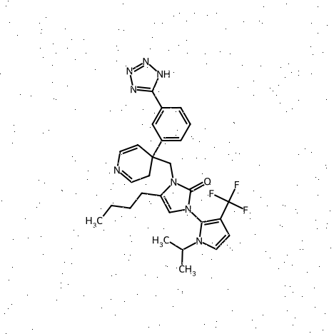 CCCCc1cn(-c2c(C(F)(F)F)ccn2C(C)C)c(=O)n1CC1(c2cccc(-c3nnn[nH]3)c2)C=CN=CC1